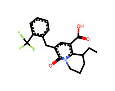 CCC1CCCn2c1c(C(=O)O)cc(Cc1ccccc1C(F)(F)F)c2=O